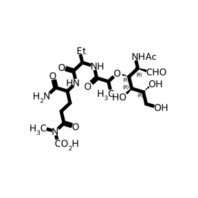 CCC(NC(=O)C(C)O[C@@H]([C@H](O)[C@H](O)CO)[C@H](C=O)NC(C)=O)C(=O)NC(CCC(=O)N(C)C(=O)O)C(N)=O